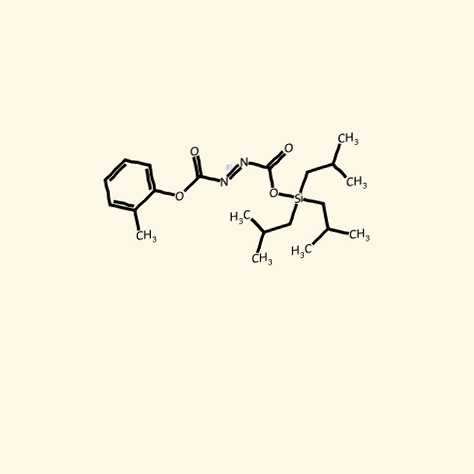 Cc1ccccc1OC(=O)/N=N/C(=O)O[Si](CC(C)C)(CC(C)C)CC(C)C